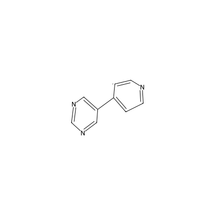 [c]1cnccc1-c1cncnc1